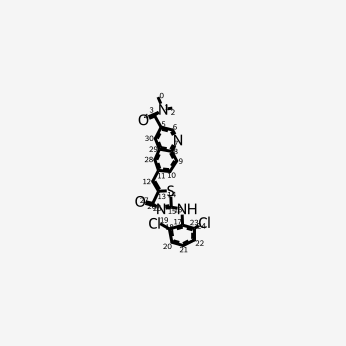 CN(C)C(=O)c1cnc2ccc(/C=C3\SC(Nc4c(Cl)cccc4Cl)=NC3=O)cc2c1